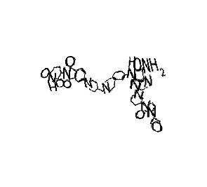 NC(=O)c1ncc(N2CCCC(N3CCN(C4COC4)C3=O)C2)nc1Nc1ccc2c(c1)CCN(CC1CCN(c3ccc4c(c3)C(=O)N(C3CCC(=O)NC3=O)C4=O)CC1)C2